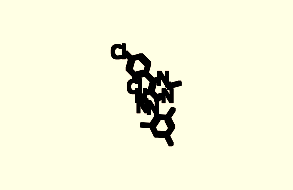 Cc1cc(C)c(-n2nnc3c(-c4ccc(Cl)cc4Cl)nc(C)nc32)c(C)c1